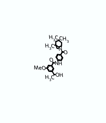 COc1cc(C(=O)Nc2ccc(C(=O)N3CC4(C)CC3CC(C)(C)C4)cc2)cc(C(C)O)c1